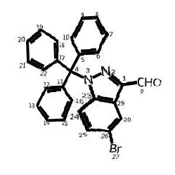 O=Cc1nn(C(c2ccccc2)(c2ccccc2)c2ccccc2)c2ccc(Br)cc12